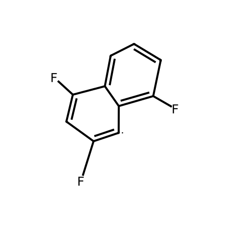 Fc1[c]c2c(F)cccc2c(F)c1